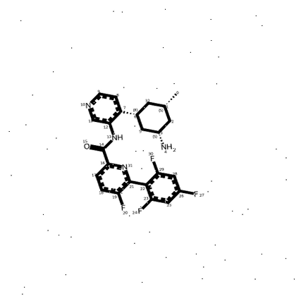 C[C@@H]1C[C@H](N)C[C@H](c2ccncc2NC(=O)c2ccc(F)c(-c3c(F)cc(F)cc3F)n2)C1